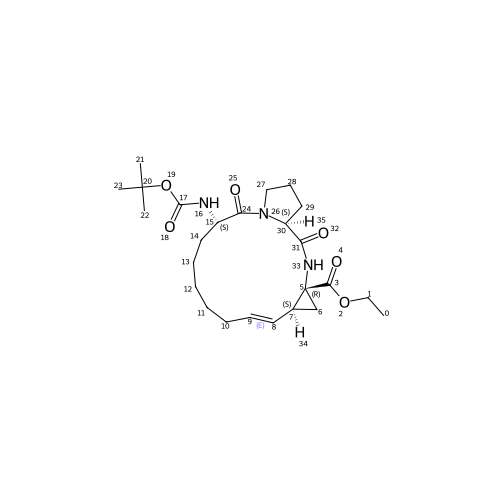 CCOC(=O)[C@@]12C[C@H]1/C=C/CCCCC[C@H](NC(=O)OC(C)(C)C)C(=O)N1CCC[C@H]1C(=O)N2